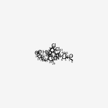 C=CC(=O)N1CCC(n2nc(N3CC[C@@H](CN4CC5(CCS(=O)(=O)C5)C4)CC3(C)C)c(-c3c(Cl)c(Cl)cc4[nH]ncc34)c2C)CC1